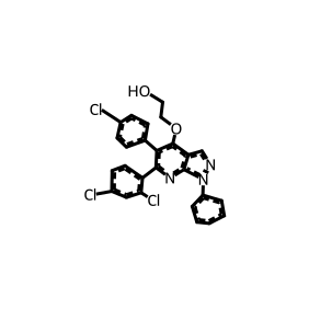 OCCOc1c(-c2ccc(Cl)cc2)c(-c2ccc(Cl)cc2Cl)nc2c1cnn2-c1ccccc1